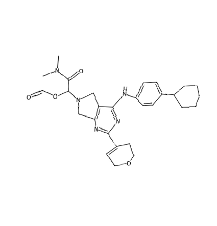 CN(C)C(=O)C(OC=O)N1Cc2nc(C3=CCOCC3)nc(Nc3ccc(C4CCCCC4)cc3)c2C1